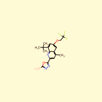 Bc1nnc(-c2cc(C)c3cc(OCC(F)(F)F)cc(C(C)(C)C)c3n2)o1